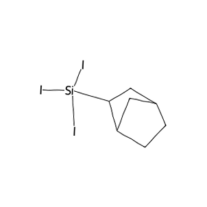 I[Si](I)(I)C1CC2CCC1C2